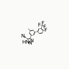 Cc1cc(-c2ccc(F)c(C(F)(F)F)c2)cc(-c2nn[nH]c2C#N)c1